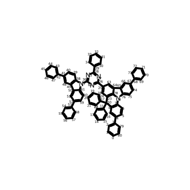 c1ccc(-c2ccc3c(c2)C(c2ccccc2)(c2ccccc2)c2cc(-c4nc(-c5ccccc5)nc(-n5c6ccc(-c7ccccc7)cc6c6cc(-c7ccccc7)ccc65)n4)cc4c5cc(-c6ccccc6)ccc5n-3c24)cc1